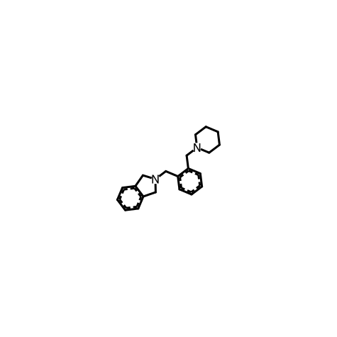 c1ccc(CN2Cc3ccccc3C2)c(CN2CCCCC2)c1